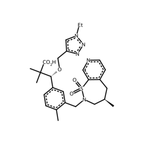 CCn1cc(CO[C@H](c2ccc(C)c(CN3C[C@H](C)Cc4ccncc4S3(=O)=O)c2)C(C)(C)C(=O)O)nn1